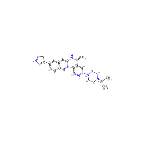 C=C(Nc1cc2cc(C3=CN=CC3)ccc2cn1)c1ccnc(N2CCN(C(C)C)CC2)c1